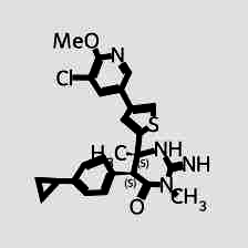 COc1ncc(-c2csc([C@@]3(C)NC(=N)N(C)C(=O)[C@H]3c3ccc(C4CC4)cc3)c2)cc1Cl